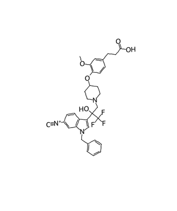 [C-]#[N+]c1ccc2c(C(O)(CN3CCC(Oc4ccc(CCC(=O)O)cc4OC)CC3)C(F)(F)F)cn(Cc3ccccc3)c2c1